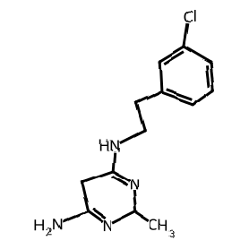 CC1N=C(N)CC(NCCc2cccc(Cl)c2)=N1